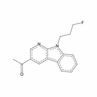 CC(=O)c1cnc2c(c1)c1ccccc1n2CCCF